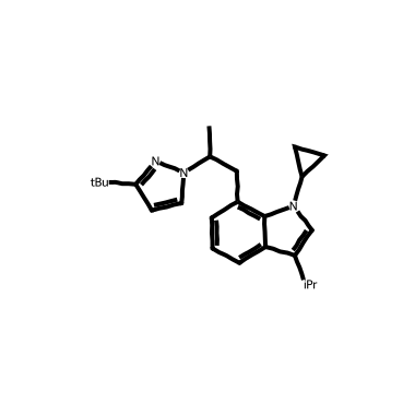 CC(C)c1cn(C2CC2)c2c(CC(C)n3ccc(C(C)(C)C)n3)cccc12